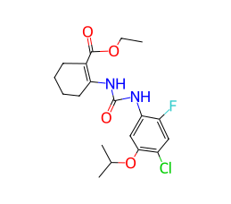 CCOC(=O)C1=C(NC(=O)Nc2cc(OC(C)C)c(Cl)cc2F)CCCC1